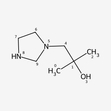 CC(C)(O)CN1CCNC1